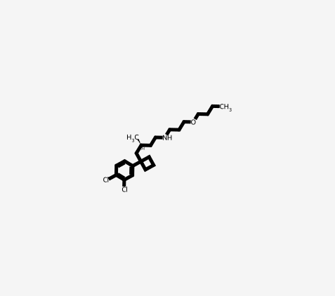 CCCCOCCCNCC[C@@H](C)CC1(c2ccc(Cl)c(Cl)c2)CCC1